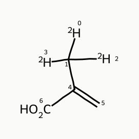 [2H]C([2H])([2H])C(=C)C(=O)O